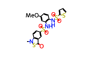 COc1ccc(NS(=O)(=O)c2cccs2)c(NS(=O)(=O)c2ccc3c(c2)c(=O)sn3C)c1